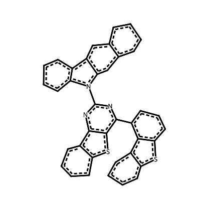 c1ccc2cc3c(cc2c1)c1ccccc1n3-c1nc(-c2cccc3sc4ccccc4c23)c2sc3ccccc3c2n1